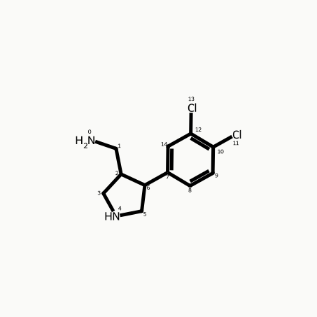 NCC1CNCC1c1ccc(Cl)c(Cl)c1